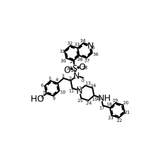 CN(C(Cc1ccc(O)cc1)CN1CCC(NCc2ccccc2)CC1)S(=O)(=O)c1cccc2cnccc12